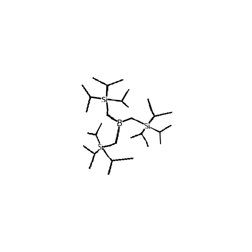 CC(C)[Si](CB(C[Si](C(C)C)(C(C)C)C(C)C)C[Si](C(C)C)(C(C)C)C(C)C)(C(C)C)C(C)C